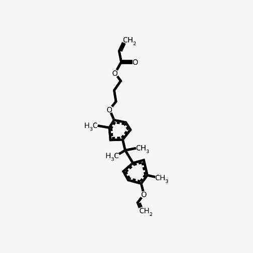 C=COc1ccc(C(C)(C)c2ccc(OCCCOC(=O)C=C)c(C)c2)cc1C